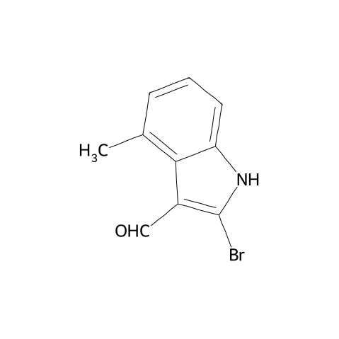 Cc1cccc2[nH]c(Br)c(C=O)c12